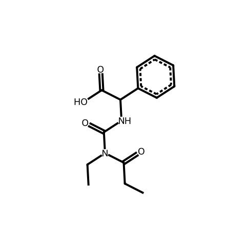 CCC(=O)N(CC)C(=O)NC(C(=O)O)c1ccccc1